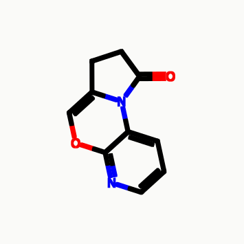 O=C1CCC2=COc3ncccc3N12